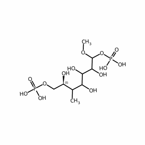 COC(OP(=O)(O)O)C(O)C(O)C(O)C(C)[C@H](O)COP(=O)(O)O